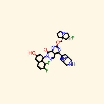 O=c1c2nc(OC[C@@]34CCCN3C[C@H](F)C4)nc(C3=CC4CNCC(C3)N4)c2cnn1-c1cc(O)cc2ccc(F)c(F)c12